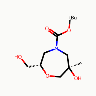 CC(C)(C)OC(=O)N1C[C@@H](CO)OC[C@](C)(O)C1